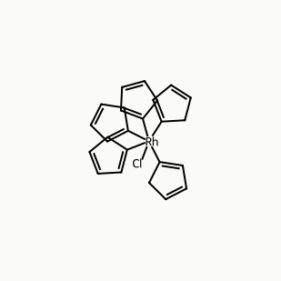 [Cl][Rh]([C]1=CC=CC1)([C]1=CC=CC1)([C]1=CC=CC1)([C]1=CC=CC1)[C]1=CC=CC1